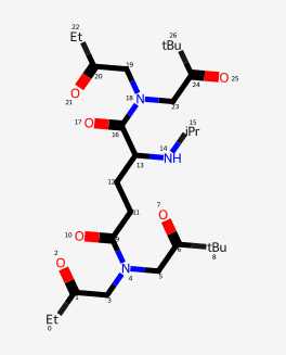 CCC(=O)CN(CC(=O)C(C)(C)C)C(=O)CCC(NC(C)C)C(=O)N(CC(=O)CC)CC(=O)C(C)(C)C